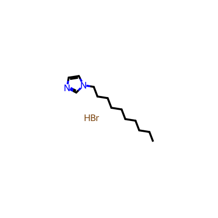 Br.CCCCCCCCCCn1ccnc1